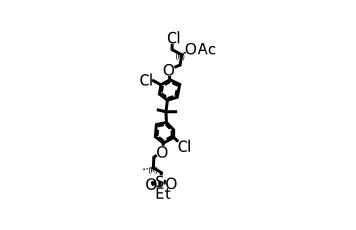 CCS(=O)(=O)C[C@H](C)COc1ccc(C(C)(C)c2ccc(OC[C@H](CCl)OC(C)=O)c(Cl)c2)cc1Cl